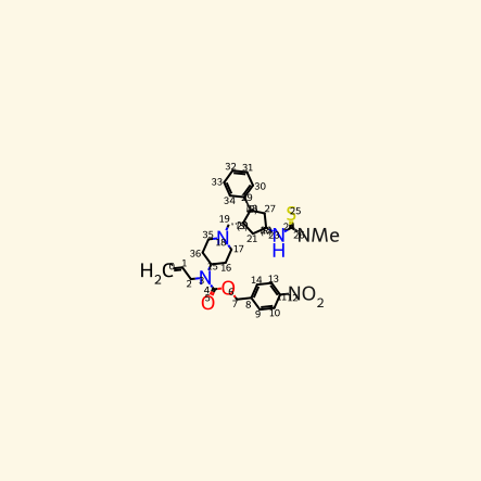 C=CCN(C(=O)OCc1ccc([N+](=O)[O-])cc1)C1CCN(C[C@H]2C[C@H](NC(=S)NC)C[C@@H]2c2ccccc2)CC1